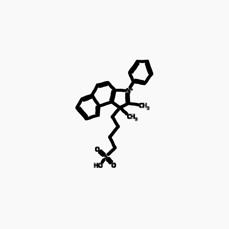 CC1=[N+](c2ccccc2)c2ccc3ccccc3c2C1(C)CCCCS(=O)(=O)O